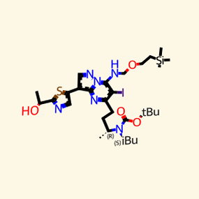 CC[C@H](C)N(C(=O)OC(C)(C)C)[C@H](C)CCc1nc2c(-c3cnc(C(C)O)s3)cnn2c(NCOCC[Si](C)(C)C)c1I